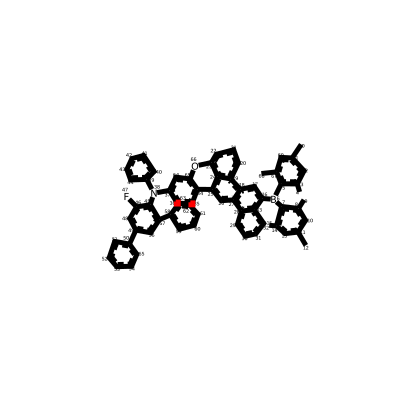 Cc1cc(C)c(B(c2c(C)cc(C)cc2C)c2cc3c4cccc5c4c(cc3c3ccccc23)-c2ccc(N(c3ccccc3)c3c(F)cc(-c4ccccc4)cc3-c3ccccc3)cc2O5)c(C)c1